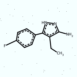 CCc1c(N)n[nH]c1-c1ccc(F)cc1